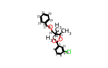 CC(OC(=O)c1cccc(Cl)c1)C(C)(C)COCc1ccccc1